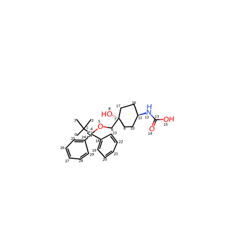 CC(C)(C)[Si](OC[C@]1(O)CC[C@H](NC(=O)O)CC1)(c1ccccc1)c1ccccc1